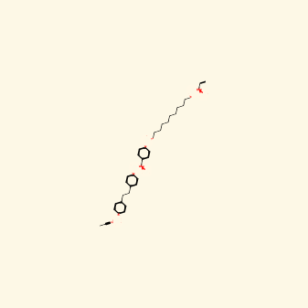 C=CC(=O)OCCCCCCCCCCCOc1ccc(C(=O)Oc2ccc(CCc3ccc(OC#CC)cc3)cc2)cc1